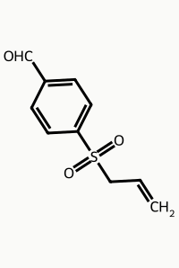 C=CCS(=O)(=O)c1ccc(C=O)cc1